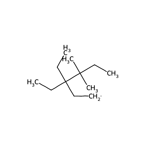 [CH2]CC(CC)(CC)C(C)(C)CC